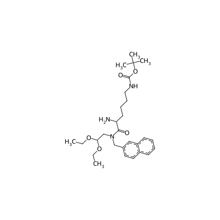 CCOC(CN(Cc1ccc2ccccc2c1)C(=O)C(N)CCCCNC(=O)OC(C)(C)C)OCC